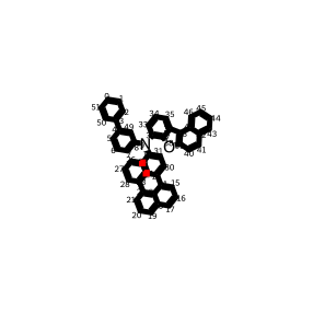 c1ccc(-c2cccc(N(c3ccc(-c4cccc5cccc(-c6ccccc6)c45)cc3)c3cccc4c3oc3ccc5ccccc5c34)c2)cc1